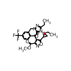 CCOn1c(CC)nn(Cc2cc(C(F)(F)F)ccc2C(=O)c2c(C(=O)OC)noc2C2CC2)c1=O